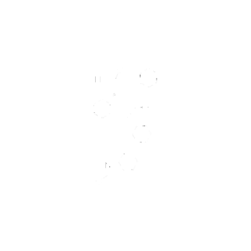 O=C1Cc2ccc(-c3cccc(OC(=O)C4C(c5ccccc5)C(C(=O)O)[C@H]4c4ccccc4)c3)cc2N1